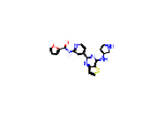 O=C(Nc1cc(-c2nc(NC3CCNC3)c3sccc3n2)ccn1)c1ccco1